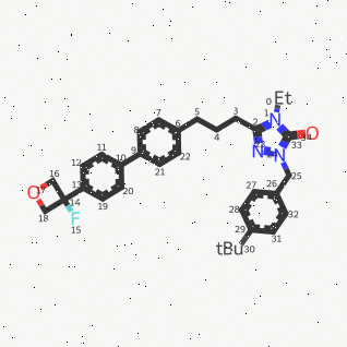 CCn1c(CCCc2ccc(-c3ccc(C4(F)COC4)cc3)cc2)nn(Cc2ccc(C(C)(C)C)cc2)c1=O